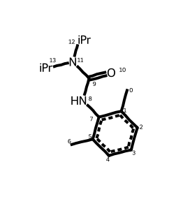 Cc1cccc(C)c1NC(=O)N(C(C)C)C(C)C